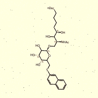 CCCCCCCCCCCCCC[C@@H](O)C(O)[C@H](CO[C@H]1OC(CSc2ccc3ccccc3c2)[C@H](O)[C@H](O)C1O)NC(C)=O